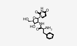 N[C@@H](Cc1ccccc1)C(=O)N[C@@H]1[C@H](O)[C@@H](CO)O[C@H]1n1ccc(=O)[nH]c1=O